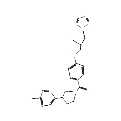 O=C(c1ccc(OCC(O)Cn2ncnn2)cc1)N1CCC(c2ccc(F)cc2)C1